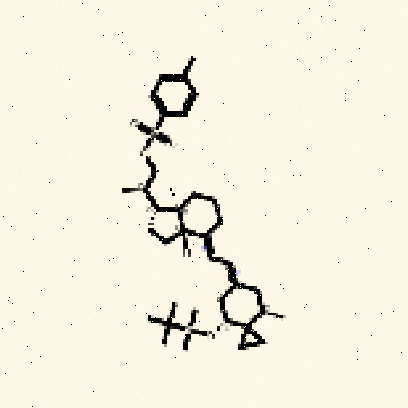 Cc1ccc(S(=O)(=O)OC[C@H](C)[C@H]2CC[C@H]3/C(=C/C=C4/C[C@@H](C)C5(CC5)[C@H](O[Si](C)(C)C(C)(C)C)C4)CCC[C@]23C)cc1